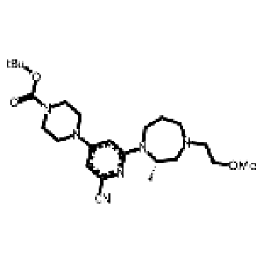 COCCN1CCCN(c2cc(N3CCN(C(=O)OC(C)(C)C)CC3)cc(C#N)n2)[C@@H](C)C1